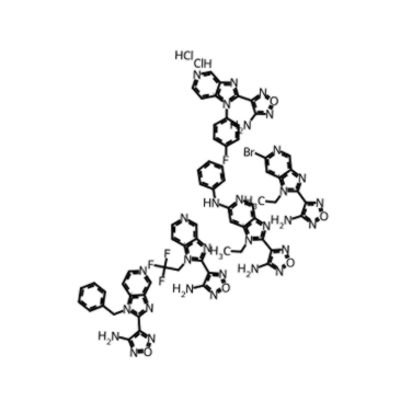 CCn1c(-c2nonc2N)nc2cnc(Br)cc21.CCn1c(-c2nonc2N)nc2cnc(Nc3ccccc3)cc21.Cl.Cl.Nc1nonc1-c1nc2cnccc2n1-c1ccc(F)cc1.Nc1nonc1-c1nc2cnccc2n1CC(F)(F)F.Nc1nonc1-c1nc2cnccc2n1Cc1ccccc1